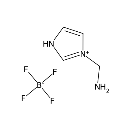 F[B-](F)(F)F.NC[n+]1cc[nH]c1